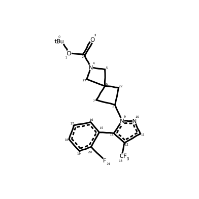 CC(C)(C)OC(=O)N1CC2(CC(n3ncc(C(F)(F)F)c3-c3ccccc3F)C2)C1